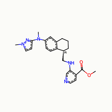 COC(=O)c1ccncc1NC[C@@H]1CCCc2cc(N(C)c3ccn(C)n3)ccc21